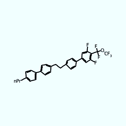 CCCc1ccc(-c2ccc(CCc3ccc(-c4cc(F)c(C(F)(F)OC(F)(F)F)c(F)c4)cc3)cc2)cc1